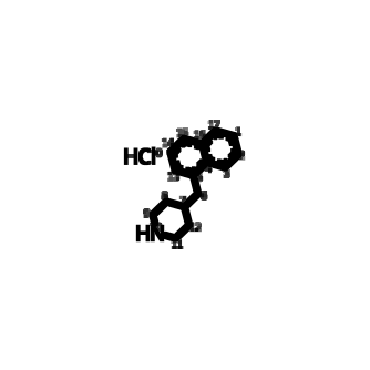 Cl.c1ccc2c(CC3CCNCC3)cccc2c1